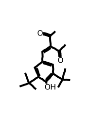 CC(=O)C(=Cc1cc(C(C)(C)C)c(O)c(C(C)(C)C)c1)C(C)=O